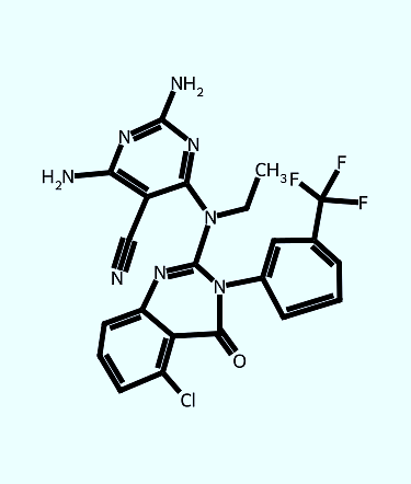 CCN(c1nc(N)nc(N)c1C#N)c1nc2cccc(Cl)c2c(=O)n1-c1cccc(C(F)(F)F)c1